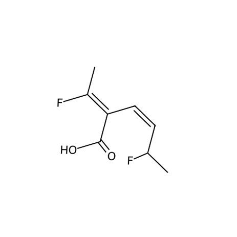 C/C(F)=C(\C=C/C(C)F)C(=O)O